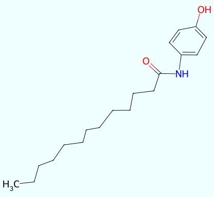 CCCCCCCCCCCCC(=O)Nc1ccc(O)cc1